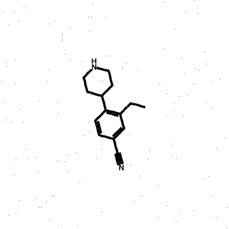 CCc1cc(C#N)ccc1C1CCNCC1